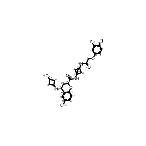 O=C(COc1ccc(Cl)c(F)c1)NC12CC(NC(=O)[C@@H]3C[C@@H](NC4CC(O)C4)c4cc(Cl)ccc4O3)(C1)C2